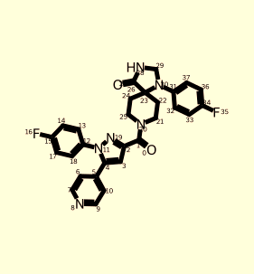 O=C(c1cc(-c2ccncc2)n(-c2ccc(F)cc2)n1)N1CCC2(CC1)C(=O)NCN2c1ccc(F)cc1